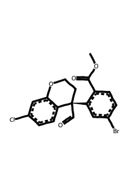 COC(=O)c1ccc(Br)cc1[C@]1(C=O)CCOc2cc(Cl)ccc21